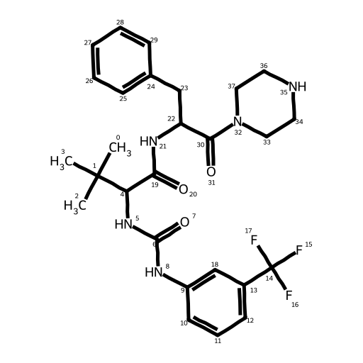 CC(C)(C)C(NC(=O)Nc1cccc(C(F)(F)F)c1)C(=O)NC(Cc1ccccc1)C(=O)N1CCNCC1